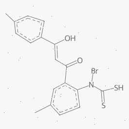 Cc1ccc(C(O)=CC(=O)c2cc(C)ccc2N(Br)C(=S)S)cc1